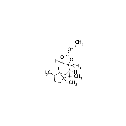 CCOC1O[C@H]2C[C@@]34C[C@H](C(C)(C)[C@@H]3CC[C@H]4C)[C@@]2(C)O1